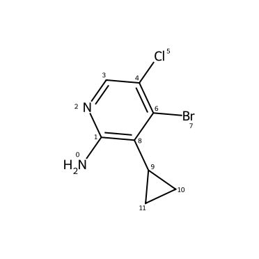 Nc1ncc(Cl)c(Br)c1C1CC1